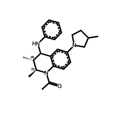 CC(=O)N1c2ccc(N3CCC(C)C3)cc2C(Nc2ccccc2)[C@@H](C)[C@@H]1C